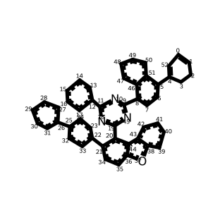 C1=CCCC(c2ccc(-c3nc(-c4ccccc4)nc(-c4c(-c5ccc(-c6ccccc6)cc5)ccc5oc6ccccc6c45)n3)c3ccccc23)=C1